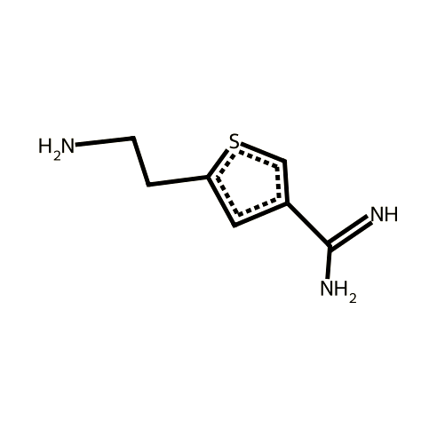 N=C(N)c1csc(CCN)c1